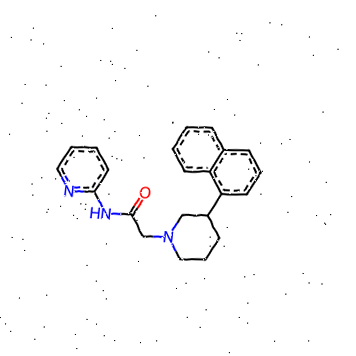 O=C(CN1CCCC(c2cccc3ccccc23)C1)Nc1ccccn1